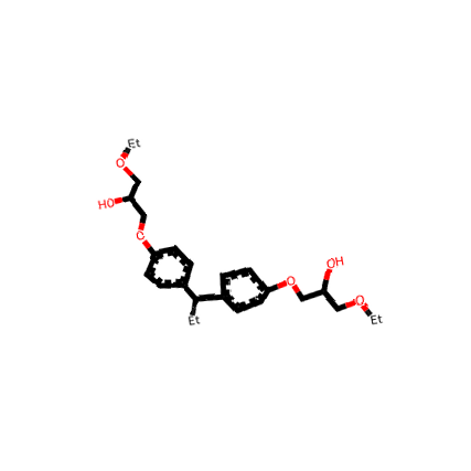 CCOCC(O)COc1ccc(C(CC)c2ccc(OCC(O)COCC)cc2)cc1